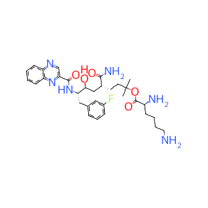 CC(C)(CC[C@H](C[C@H](O)[C@H](Cc1cccc(F)c1)NC(=O)c1cnc2ccccc2n1)C(N)=O)OC(=O)[C@@H](N)CCCCN